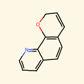 C1=Cc2ccc3cccnc3c2OC1